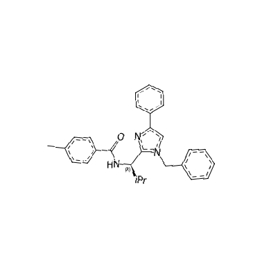 Cc1ccc(C(=O)N[C@@H](c2nc(-c3ccccc3)cn2Cc2ccccc2)C(C)C)cc1